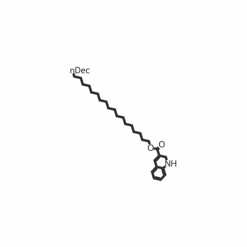 CCCCCCCCCCCCCCCCCCCCCCCCCCCCOC(=O)C1=Cc2ccccc2NC1